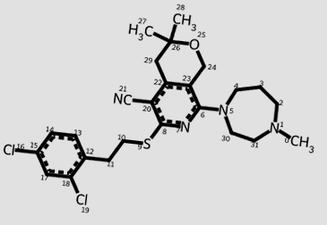 CN1CCCN(c2nc(SCCc3ccc(Cl)cc3Cl)c(C#N)c3c2COC(C)(C)C3)CC1